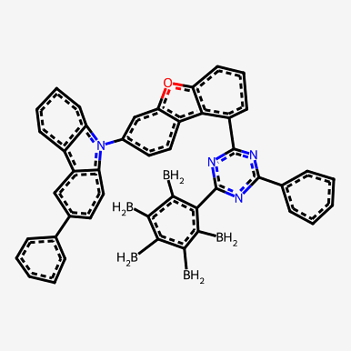 Bc1c(B)c(B)c(-c2nc(-c3ccccc3)nc(-c3cccc4oc5cc(-n6c7ccccc7c7cc(-c8ccccc8)ccc76)ccc5c34)n2)c(B)c1B